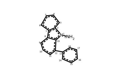 Nn1c2ccccc2c2cccc(-c3ccccc3)c21